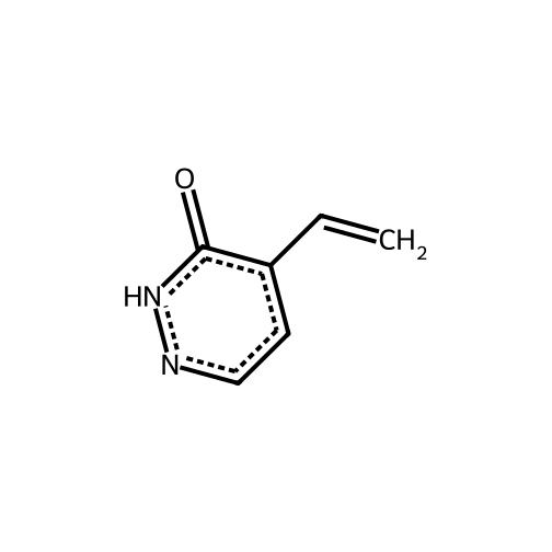 C=Cc1ccn[nH]c1=O